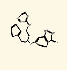 O=c1[nH][nH]c2cc(OC(CCNc3nccnn3)Cc3ccccc3)ccc12